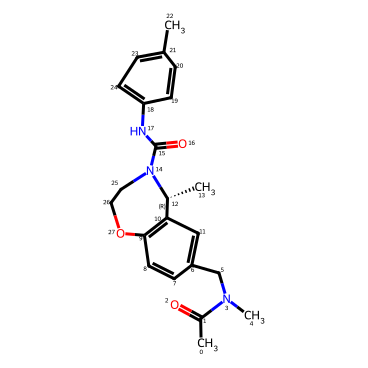 CC(=O)N(C)Cc1ccc2c(c1)[C@@H](C)N(C(=O)Nc1ccc(C)cc1)CCO2